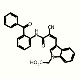 N#CC(=Cc1cn(CC(=O)O)c2ccccc12)C(=O)Nc1ccccc1C(=O)c1ccccc1